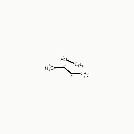 CO.[CH2]CCC